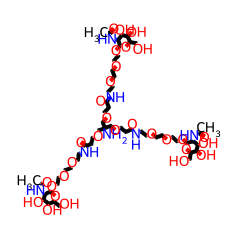 CC(=O)NC1C(OCCOCCOCCNC(=O)CCOCC(N)(COCCC(=O)NCCOCCOCCOC2OC(CO)C(O)C(O)C2NC(C)=O)COCCC(=O)NCCOCCOCCOC2OC(CO)C(O)C(O)C2NC(C)=O)OC(CO)C(O)C1O